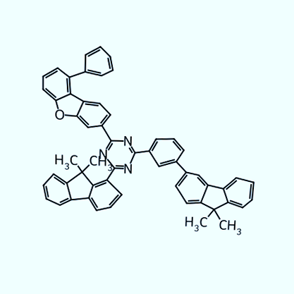 CC1(C)c2ccccc2-c2cc(-c3cccc(-c4nc(-c5ccc6c(c5)oc5cccc(-c7ccccc7)c56)nc(-c5cccc6c5C(C)(C)c5ccccc5-6)n4)c3)ccc21